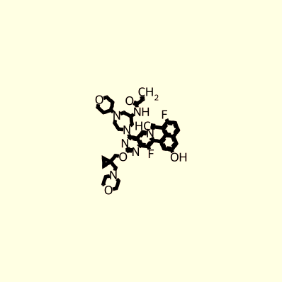 C#Cc1c(F)ccc2cc(O)cc(-c3ncc4c(N5CCN(C6CCOCC6)CC(NC(=O)C=C)C5)nc(OCC5(CN6CCOCC6)CC5)nc4c3F)c12